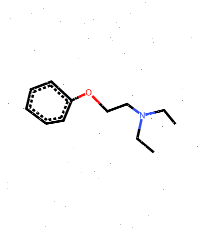 CCN(CC)CCOc1cc[c]cc1